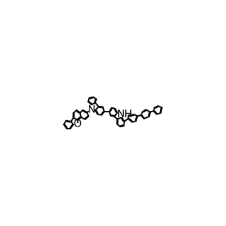 c1ccc(-c2ccc(-c3ccc(-c4cccc5c4[nH]c4ccc(-c6ccc7c(c6)c6ccccc6n7-c6ccc7c(ccc8c9ccccc9oc78)c6)cc45)cc3)cc2)cc1